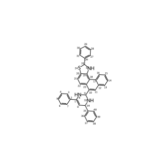 C1=C(c2ccccc2)NC(c2cc3ccccc3c3c4c(ccc23)SC(c2ccccc2)N4)NC1c1ccccc1